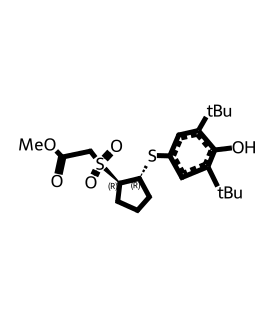 COC(=O)CS(=O)(=O)[C@@H]1CCC[C@H]1Sc1cc(C(C)(C)C)c(O)c(C(C)(C)C)c1